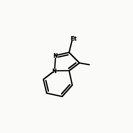 CCc1nn2ccccc2c1C